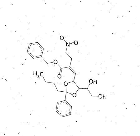 CCCCC1(c2ccccc2)OC(C=C(CC[N+](=O)[O-])C(=O)OCc2ccccc2)C(C(O)CO)O1